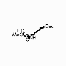 CCCCCCCCCCCCCCCCCCNC(=O)OCC(CO)OC